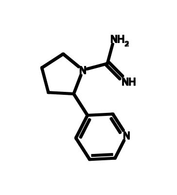 N=C(N)N1CCCC1c1cccnc1